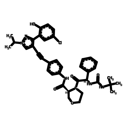 CC(C)n1cc(C#Cc2ccc(NC(=O)[C@@H]3COCCN3C(=O)[C@H](NC(=O)NC(C)(C)C)c3ccccc3)cc2)c(-c2cc(Cl)ccc2O)n1